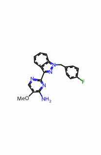 COc1cnc(-c2nn(Cc3ccc(F)cc3)c3ccccc23)nc1N